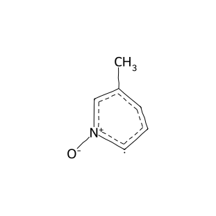 Cc1cc[c][n+]([O-])c1